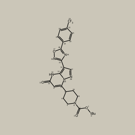 CC(C)(C)OC(=O)N1CCC(c2cc(=O)[nH]c3c(-c4noc(-c5ccc(C(F)(F)F)cc5)n4)cnn23)CC1